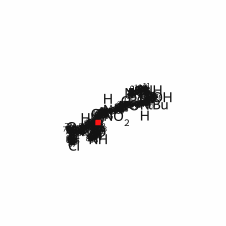 Cc1ncsc1-c1ccc([C@H](C)NC(=O)[C@@H]2C[C@@H](O)CN2C(=O)[C@@H](NC(=O)CCOCCC(=O)N2CCN(CCCNc3ccc(S(=O)(=O)NC(=O)c4ccc(N5CCN(CC6=C(c7ccc(Cl)cc7)CC(C)(C)OC6)CC5)cc4N4CCCOc5nc6[nH]ccc6cc54)cc3[N+](=O)[O-])CC2)C(C)(C)C)cc1